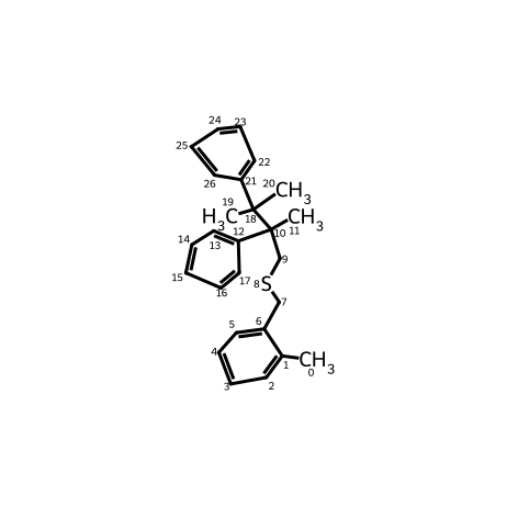 Cc1ccccc1CSCC(C)(c1ccccc1)C(C)(C)c1ccccc1